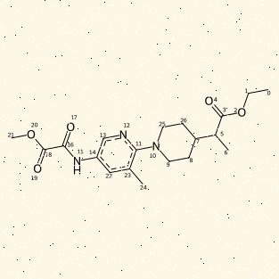 CCOC(=O)C(C)C1CCN(c2ncc(NC(=O)C(=O)OC)cc2C)CC1